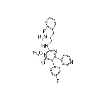 Cn1c(NC[C@H](N)Cc2ccccc2F)nc(-c2ccncc2)c(-c2ccc(F)cc2)c1=O